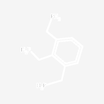 PCc1cccc(CP)c1CP